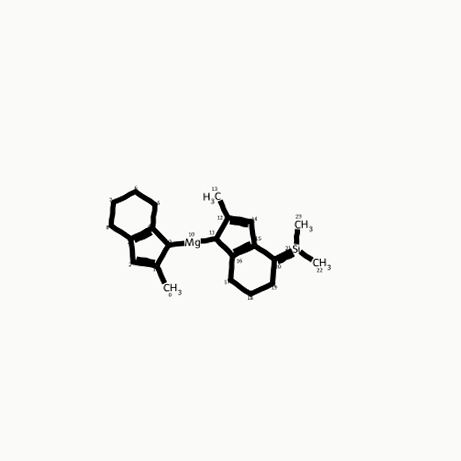 CC1=CC2=C(CCCC2)[CH]1[Mg][CH]1C(C)=CC2=C1CCCC2=[Si](C)C